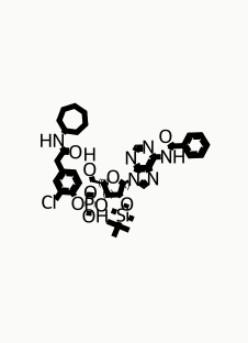 CC(C)(C)[Si](C)(C)OC1[C@H](n2cnc3c(NC(=O)c4ccccc4)ncnc32)O[C@H](CO)[C@H]1OP(=O)(O)Oc1ccc(CC(=O)NC2CCCCCC2)cc1Cl